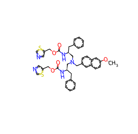 COc1ccc2cc(CN(C[C@@H](Cc3ccccc3)NC(=O)OCc3cncs3)C[C@H](Cc3ccccc3)NC(=O)OCc3cncs3)ccc2c1